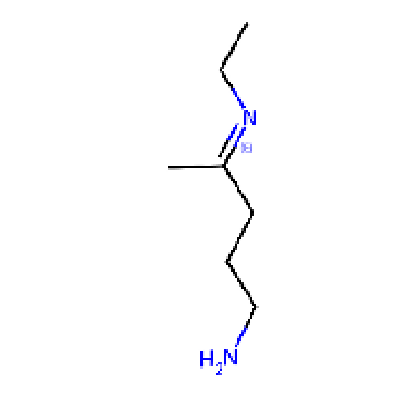 CC/N=C(\C)CCCN